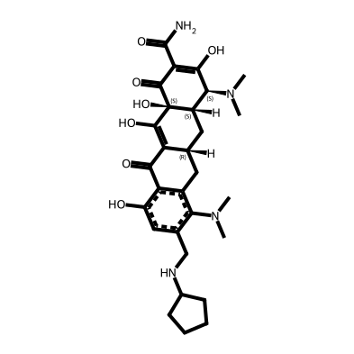 CN(C)c1c(CNC2CCCC2)cc(O)c2c1C[C@H]1C[C@H]3[C@H](N(C)C)C(O)=C(C(N)=O)C(=O)[C@@]3(O)C(O)=C1C2=O